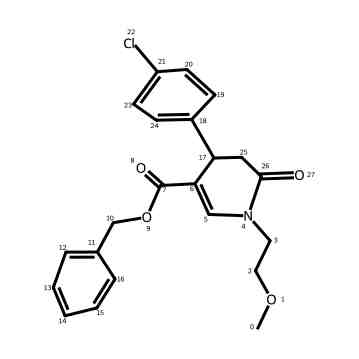 COCCN1C=C(C(=O)OCc2ccccc2)C(c2ccc(Cl)cc2)CC1=O